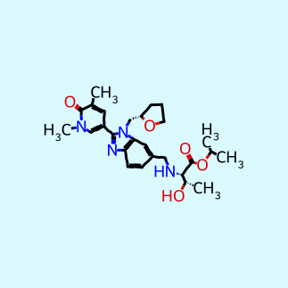 Cc1cc(-c2nc3ccc(CN[C@H](C(=O)OC(C)C)[C@H](C)O)cc3n2C[C@@H]2CCCO2)cn(C)c1=O